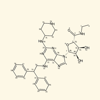 CCNC(=O)[C@H]1O[C@@H](n2cnc3c(NCC(c4ccccc4)c4ccccc4)nc(NC4CCNCC4)nc32)[C@H](O)[C@@H]1O